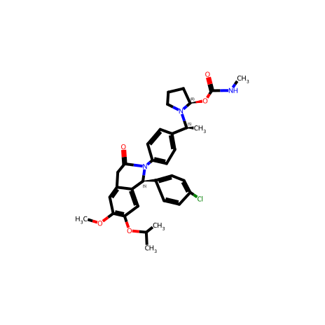 CNC(=O)O[C@@H]1CCCN1[C@@H](C)c1ccc(N2C(=O)Cc3cc(OC)c(OC(C)C)cc3[C@@H]2c2ccc(Cl)cc2)cc1